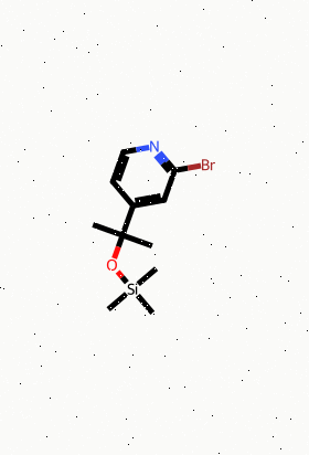 CC(C)(O[Si](C)(C)C)c1ccnc(Br)c1